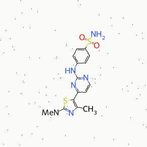 CNc1nc(C)c(-c2ccnc(Nc3ccc(S(N)(=O)=O)cc3)n2)s1